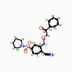 N#Cc1ccc(S(=O)(=O)N2CCCCC2)cc1COCC(=O)c1ccccc1